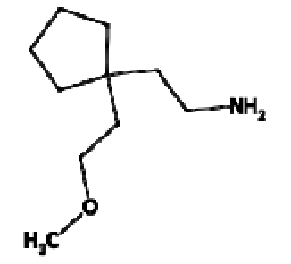 COCCC1(CCN)CCCC1